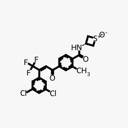 Cc1cc(C(=O)/C=C(\c2cc(Cl)cc(Cl)c2)C(F)(F)F)ccc1C(=O)N[C@H]1C[S@@+]([O-])C1